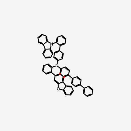 c1ccc(-c2ccc(-c3ccc(N(c4ccc(-c5ccccc5-n5c6ccccc6c6ccccc65)cc4)c4ccccc4-c4ccc5c(c4)oc4ccccc45)cc3)cc2)cc1